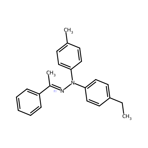 CCc1ccc(N(/N=C(\C)c2ccccc2)c2ccc(C)cc2)cc1